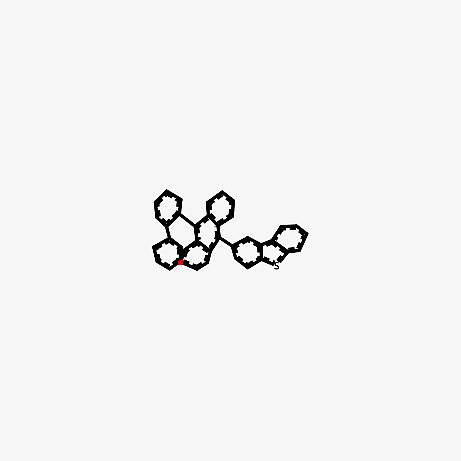 c1ccc(-c2ccccc2-c2c3ccccc3c(-c3ccc4sc5ccccc5c4c3)c3ccccc23)cc1